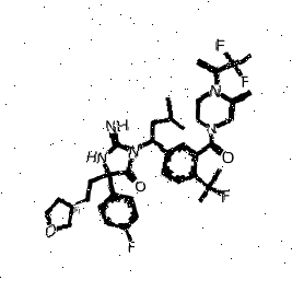 C=C1CN(C(=O)c2cc(C(CC(C)C)N3C(=N)NC(CC[C@@H]4CCOC4)(c4ccc(F)cc4)C3=O)ccc2C(C)(C)F)CCN1C(=C)C(C)(F)F